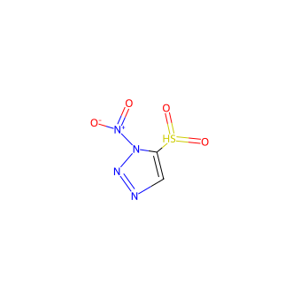 O=[N+]([O-])n1nncc1[SH](=O)=O